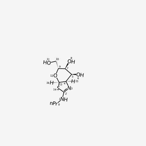 CCCNC1=N[C@@H]2[C@H](O)[C@H](O)[C@@H](CO)O[C@@H]2S1